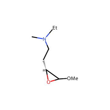 CCN(C)CC[C@H]1OC1OC